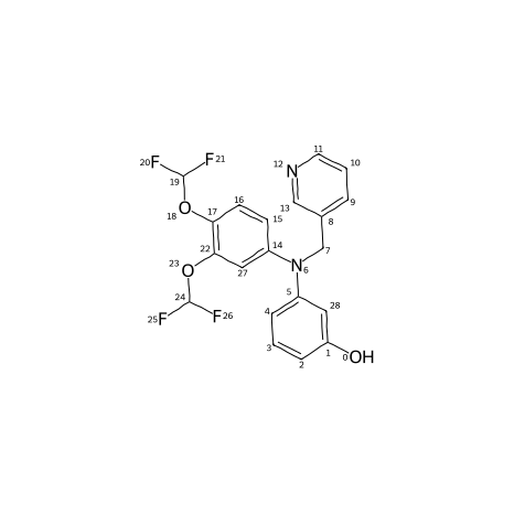 Oc1cccc(N(Cc2cccnc2)c2ccc(OC(F)F)c(OC(F)F)c2)c1